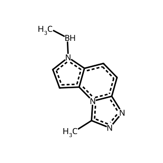 CBn1ccc2c1ccc1nnc(C)n12